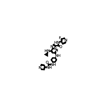 O=C(Nc1ccncc1)N[C@H]1CC[C@H](Nc2cc(NC3CC3)c3ncc(C(=O)Nc4ccncc4F)n3n2)CC1